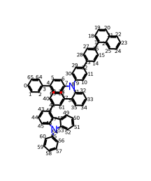 c1ccc(-c2ccc(N(c3ccc(-c4ccc(-c5cccc6ccccc56)cc4)cc3)c3ccccc3-c3cccc(-c4cccc5c4c4ccccc4n5-c4ccccc4)c3)cc2)cc1